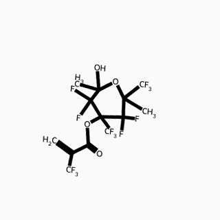 C=C(C(=O)OC1(C(F)(F)F)C(F)(F)C(C)(O)OC(C)(C(F)(F)F)C1(F)F)C(F)(F)F